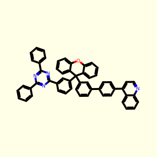 c1ccc(-c2nc(-c3ccccc3)nc(-c3cccc(C4(c5cccc(-c6ccc(-c7ccnc8ccccc78)cc6)c5)c5ccccc5Oc5ccccc54)c3)n2)cc1